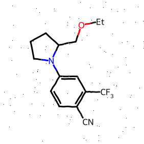 CCOCC1CCCN1c1ccc(C#N)c(C(F)(F)F)c1